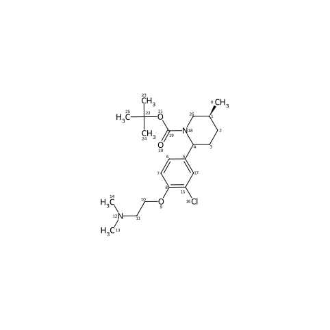 C[C@H]1CCC(c2ccc(OCCN(C)C)c(Cl)c2)N(C(=O)OC(C)(C)C)C1